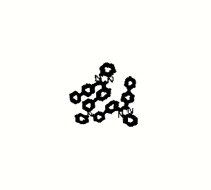 c1ccc(-c2ccc(-c3nc4ccccc4nc3-c3cccc(-c4cccc(N(c5ccccc5)c5cccc(-c6cccc(-c7nc8ccccc8nc7-c7ccc(-c8ccccc8)cc7)c6)c5)c4)c3)cc2)cc1